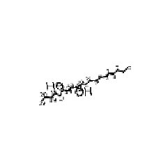 CCCCC=CCCCCCC(O)C=CC(O)CCCCC